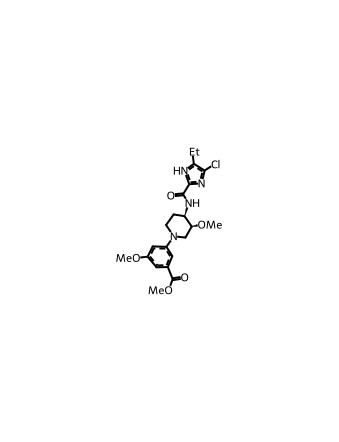 CCc1[nH]c(C(=O)N[C@@H]2CCN(c3cc(OC)cc(C(=O)OC)c3)C[C@@H]2OC)nc1Cl